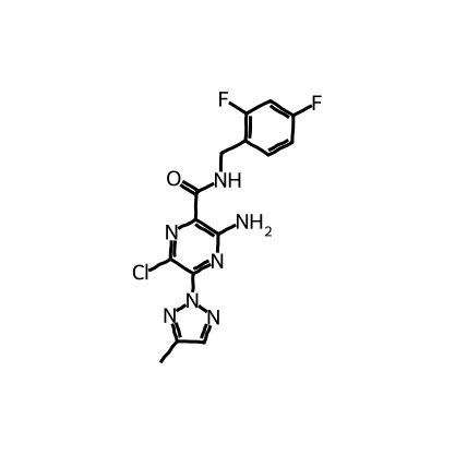 Cc1cnn(-c2nc(N)c(C(=O)NCc3ccc(F)cc3F)nc2Cl)n1